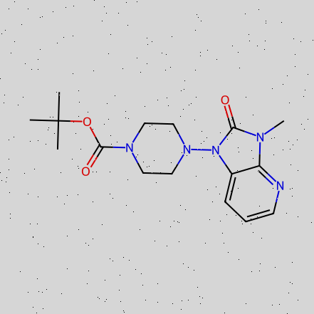 Cn1c(=O)n(N2CCN(C(=O)OC(C)(C)C)CC2)c2cccnc21